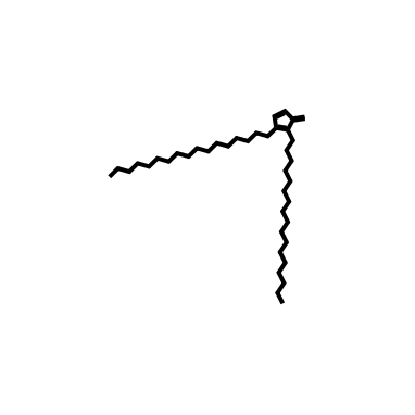 C=C1C=CC(CCCCCCCCCCCCCCCCC)=C1CCCCCCCCCCCCCCCCC